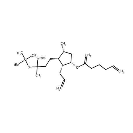 C=CCCCC(=C)O[C@H]1C[C@@H](C)[C@H](CCC(C)(CCCCC)O[Si](C)(C)C(C)(C)C)[C@H]1CC=C